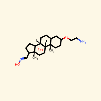 C[C@]12CCC(OCCN)CC1CC[C@@H]1[C@H]2CC[C@]2(C)C(/C=N/O)CC[C@@]12O